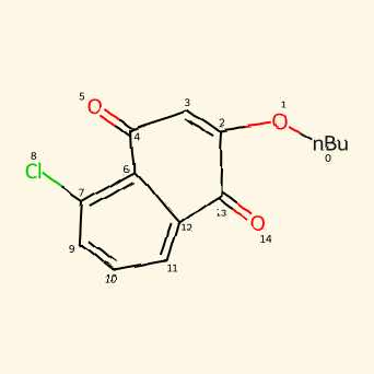 CCCCOC1=CC(=O)c2c(Cl)cccc2C1=O